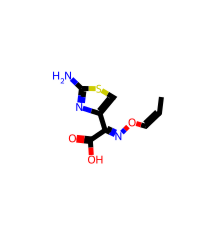 C/C=C\O/N=C(/C(=O)O)c1csc(N)n1